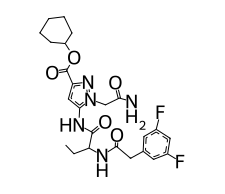 CCC(NC(=O)Cc1cc(F)cc(F)c1)C(=O)Nc1cc(C(=O)OC2CCCCC2)nn1CC(N)=O